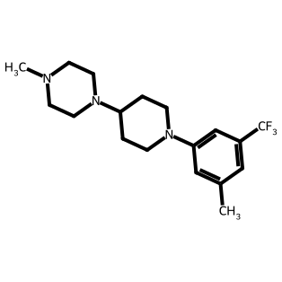 Cc1cc(N2CCC(N3CCN(C)CC3)CC2)cc(C(F)(F)F)c1